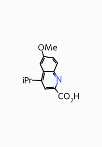 COc1ccc2nc(C(=O)O)cc(C(C)C)c2c1